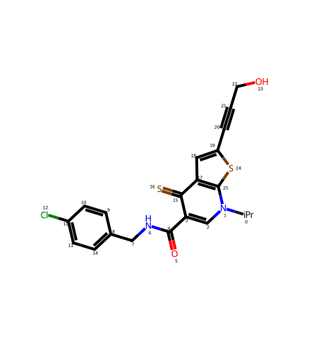 CC(C)n1cc(C(=O)NCc2ccc(Cl)cc2)c(=S)c2cc(C#CCO)sc21